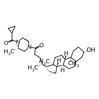 C[C@H](CCC(=O)N1CCN(C(=O)C2CC2)[C@@H](C)C1)[C@H]1CC[C@H]2[C@@H]3CC=C4C[C@@H](O)CC[C@]4(C)[C@H]3CC[C@]12C